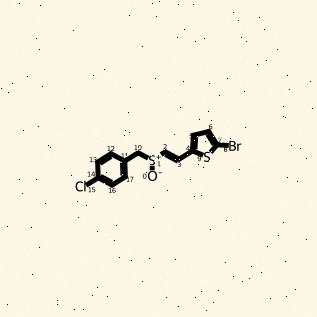 [O-][S+](C=Cc1ccc(Br)s1)Cc1ccc(Cl)cc1